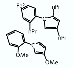 CCCc1cc(CCC)[c-](-c2ccccc2CCC)c1.COc1cc[c-](-c2ccccc2OC)c1.[Fe+2]